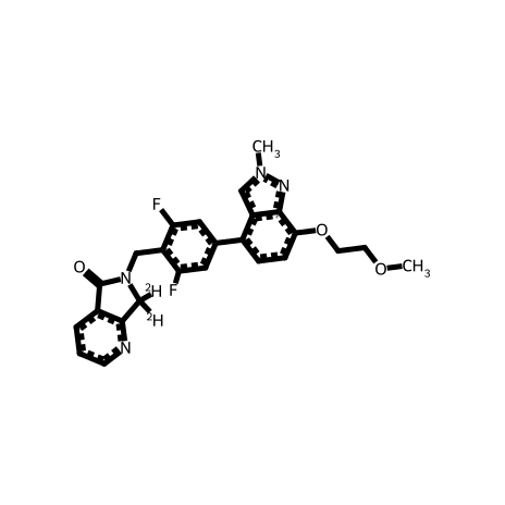 [2H]C1([2H])c2ncccc2C(=O)N1Cc1c(F)cc(-c2ccc(OCCOC)c3nn(C)cc23)cc1F